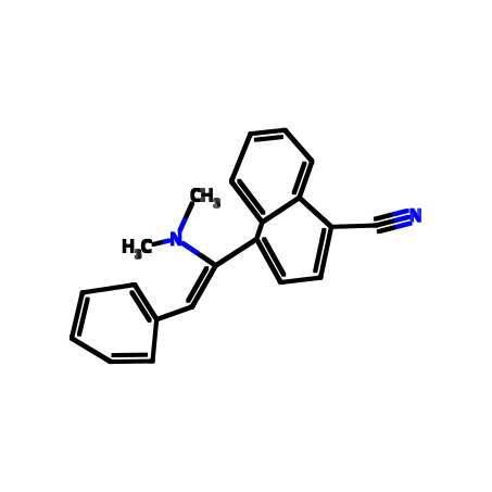 CN(C)C(=Cc1ccccc1)c1ccc(C#N)c2ccccc12